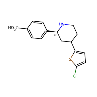 O=C(O)c1ccc([C@@H]2CC(c3ccc(Cl)s3)CCN2)cc1